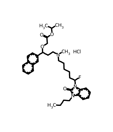 CCCCn1c(=O)n(C(F)CCCCCN(C)CCC(OCC(=O)OC(C)C)c2ccc3ccccc3c2)c2ccccc21.Cl